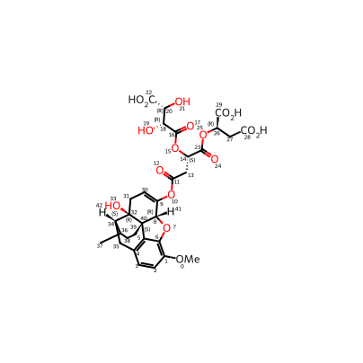 COc1ccc2c3c1O[C@H]1C(OC(=O)C[C@H](OC(=O)[C@H](O)[C@@H](O)C(=O)O)C(=O)O[C@H](CC(=O)O)C(=O)O)=CC[C@@]4(O)[C@@H](C2)C(C)CC[C@]314